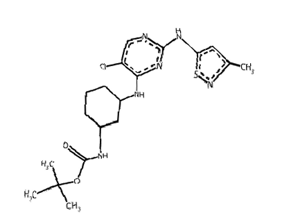 Cc1cc(Nc2ncc(Cl)c(NC3CCCC(NC(=O)OC(C)(C)C)C3)n2)sn1